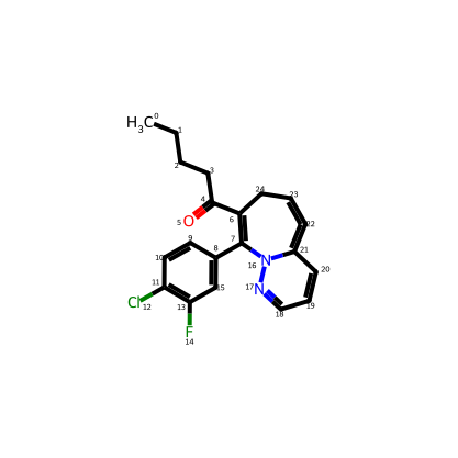 CCCCC(=O)C1=C(c2ccc(Cl)c(F)c2)N2N=CC=CC2=C=CC1